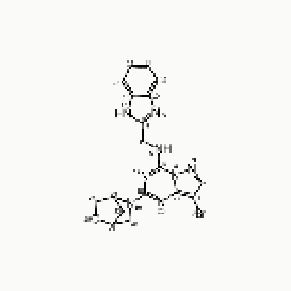 Brc1cnn2c(NCc3nc4ccccc4[nH]3)nc(N3CC4CC3CO4)nc12